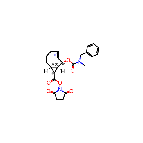 CN(Cc1ccccc1)C(=O)O[C@@H]1/C=C/CCC[C@@H]2[C@H](C(=O)ON3C(=O)CCC3=O)[C@@H]21